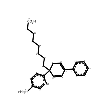 CCCCCCCc1ccc(C2(CCCCCCCC(=O)O)C=CC(c3ccccc3)=CC2)nc1